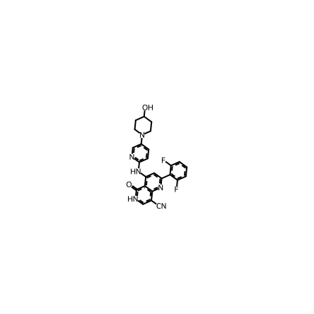 N#Cc1c[nH]c(=O)c2c(Nc3ccc(N4CCC(O)CC4)cn3)cc(-c3c(F)cccc3F)nc12